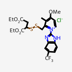 CCOC(=O)CC(SSCc1c(C)c(OC)cc[n+]1-c1nc2cc(C(F)(F)F)ccc2[nH]1)C(=O)OCC.[Cl-]